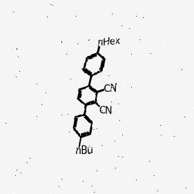 CCCCCCc1ccc(-c2ccc(-c3ccc(CCCC)cc3)c(C#N)c2C#N)cc1